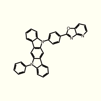 c1ccc(-n2c3ccccc3c3cc4c(cc32)c2ccccc2n4-c2ccc(-c3nc4ncccc4o3)cc2)cc1